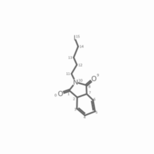 O=C1C2C=CC=CC2C(=O)N1CCCCI